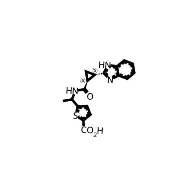 CC(NC(=O)[C@H]1C[C@@H]1c1nc2ccccc2[nH]1)c1ccc(C(=O)O)s1